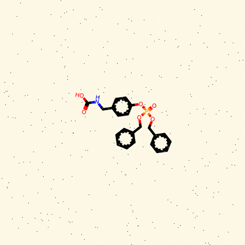 O=C(O)NCc1ccc(OP(=O)(OCc2ccccc2)OCc2ccccc2)cc1